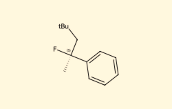 CC(C)(C)C[C@](C)(F)c1ccccc1